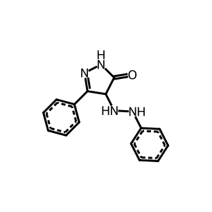 O=C1NN=C(c2ccccc2)C1NNc1ccccc1